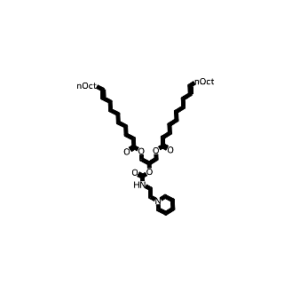 CCCCCCCCC=CCCCCCCCC(=O)OCC(COC(=O)CCCCCCCC=CCCCCCCCC)OC(=O)NCCN1CCCCC1